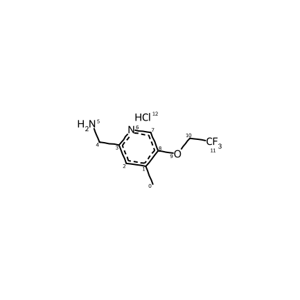 Cc1cc(CN)ncc1OCC(F)(F)F.Cl